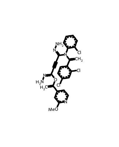 C=C(O/C(C#C/C(=N/N)N(C(=C)c1ccc(Cl)cc1Cl)c1ccccc1Cl)=N\N)c1ccnc(OC)c1